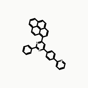 c1ccc(-c2nc(-c3ccc(-c4ccccn4)cc3)cc(-c3ccc4ccc5cccc6ccc3c4c56)n2)cc1